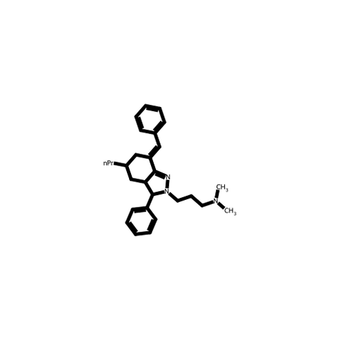 CCCC1CC(=Cc2ccccc2)C2=NN(CCCN(C)C)C(c3ccccc3)C2C1